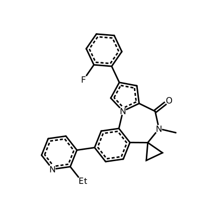 CCc1ncccc1-c1ccc2c(c1)-n1cc(-c3ccccc3F)cc1C(=O)N(C)C21CC1